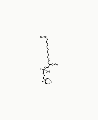 CCCCCCCCCCCCCCCCCCOCC(COP(=O)(O)OCC[N+]1(C)CCOCC1)OC